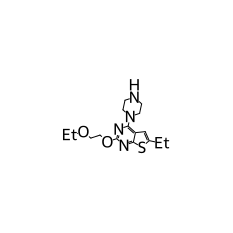 CCOCCOc1nc(N2CCNCC2)c2cc(CC)sc2n1